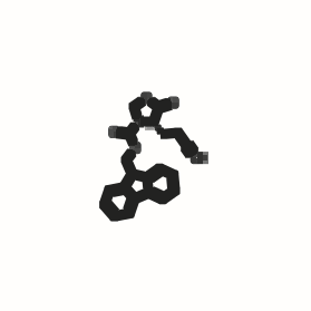 C#CCC[C@H]1C(=O)OCN1C(=O)OCC1c2ccccc2-c2ccccc21